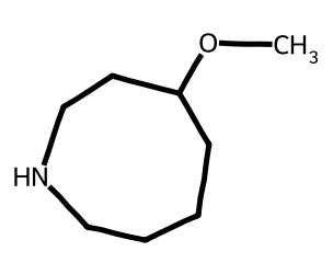 COC1CCCCNCC1